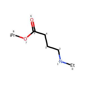 CC[N]CCCC(=O)OC(C)C